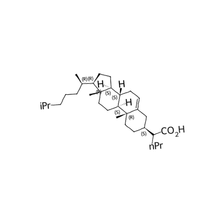 CCCC(C(=O)O)[C@H]1CC[C@@]2(C)C(=CC[C@H]3[C@@H]4CC[C@H]([C@H](C)CCCC(C)C)[C@@]4(C)CC[C@@H]32)C1